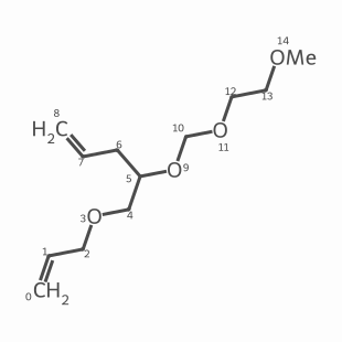 C=CCOCC(CC=C)OCOCCOC